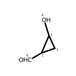 O=[C]C1CC1O